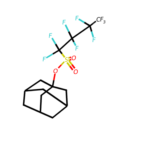 O=S(=O)(OC12CC3CC(CC(C3)C1)C2)C(F)(F)C(F)(F)C(F)(F)C(F)(F)F